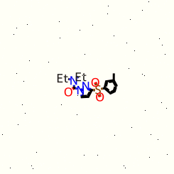 CCN(CC)C(=O)n1ccc(S(=O)(=O)c2cccc(C)c2)n1